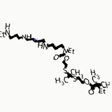 CCNCCCNC/C=C/CNCCCN(CC)C(=O)OCCSC(C)(C)SCCOC(=O)C(C)(C)CC